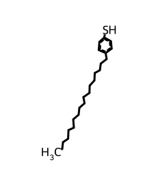 CCCCCCCCCCCCCCCCCCc1ccc(S)cc1